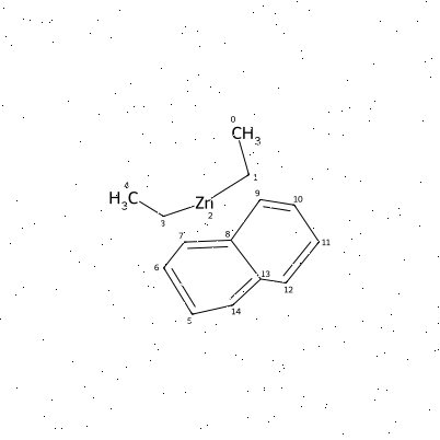 C[CH2][Zn][CH2]C.c1ccc2ccccc2c1